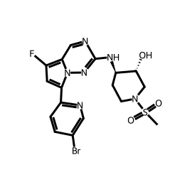 CS(=O)(=O)N1CC[C@@H](Nc2ncc3c(F)cc(-c4ccc(Br)cn4)n3n2)[C@H](O)C1